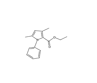 CCOC(=O)c1c(C)cc(C)n1-c1ccccc1